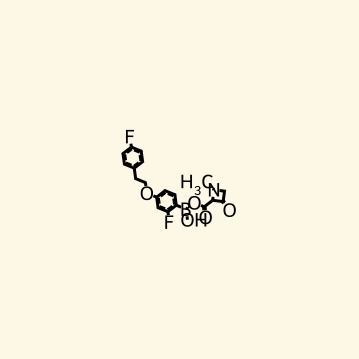 CN1CC(=O)C1C(=O)OB(O)c1ccc(OCCc2ccc(F)cc2)cc1F